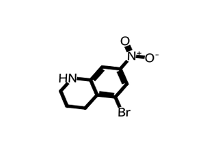 O=[N+]([O-])c1cc(Br)c2c(c1)NCCC2